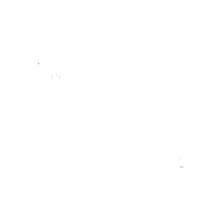 CO[Si](CCCNCCC(=O)OCCOCCOCCOCCOCCOCCOc1ccccc1)(OC)OC